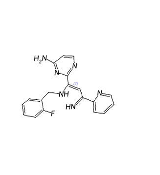 N=C(/C=C(\NCc1ccccc1F)c1nccc(N)n1)c1ccccn1